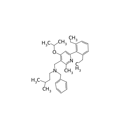 CCc1cccc(CC)c1-c1cc(OC(C)C)c(CN(CCC(C)C)Cc2ccccc2)c(C)n1